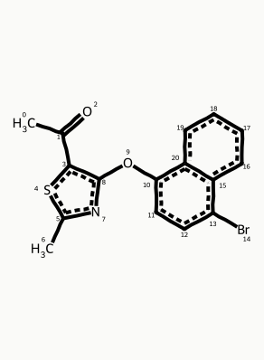 CC(=O)c1sc(C)nc1Oc1ccc(Br)c2ccccc12